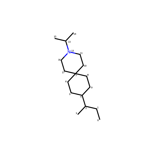 CCC(C)C1CCC2(CC1)CCN(C(C)C)CC2